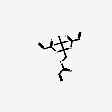 C=CC(=O)OCC(OC(=O)C=C)(OC(=O)C=C)C(C)(C)C